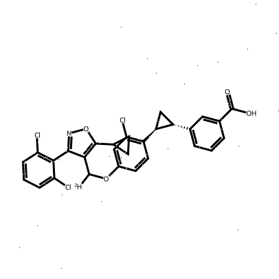 [2H]C(Oc1ccc([C@H]2C[C@@H]2c2cccc(C(=O)O)c2)c(Cl)c1)c1c(-c2c(Cl)cccc2Cl)noc1C1CC1